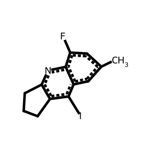 Cc1cc(F)c2nc3c(c(I)c2c1)CCC3